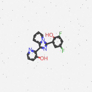 Oc1cccnc1-c1nc(-c2cc(F)cc(F)c2O)n2ccccc12